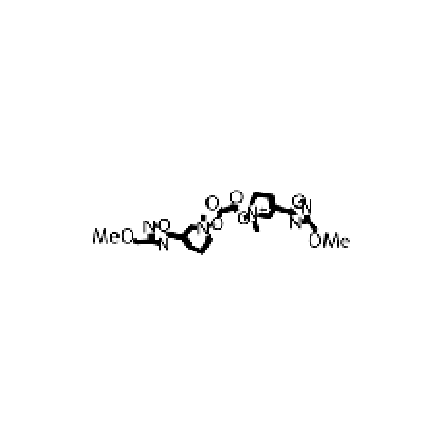 COCc1noc(C2=CCC[N+](C)(OC(=O)C(=O)O[N+]3(C)CCC=C(c4nc(COC)no4)C3)C2)n1